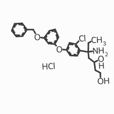 CCC(N)(CC(O)CCO)c1ccc(Oc2cccc(OCc3ccccc3)c2)cc1Cl.Cl